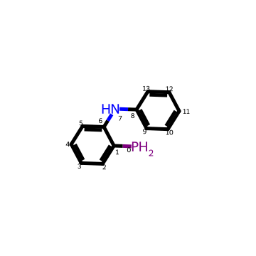 Pc1ccccc1Nc1ccccc1